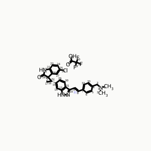 CN(C)Cc1ccc(/C=C/c2n[nH]c3cc([C@@H]4C[C@@]45C(=O)Nc4ccc(Cl)cc45)ccc23)cc1.O=C(O)C(F)(F)F